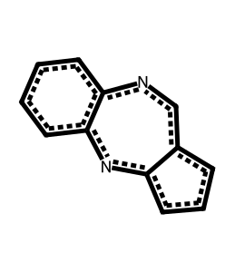 c1cc2cnc3ccccc3nc-2c1